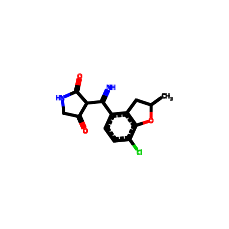 CC1Cc2c(C(=N)C3C(=O)CNC3=O)ccc(Cl)c2O1